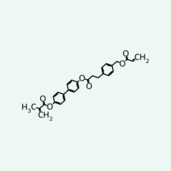 C=CC(=O)OCc1ccc(CCC(=O)Oc2ccc(-c3ccc(OC(=O)C(=C)C)cc3)cc2)cc1